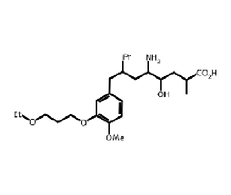 CCOCCCOc1cc(CC(CC(N)C(O)CC(C)C(=O)O)C(C)C)ccc1OC